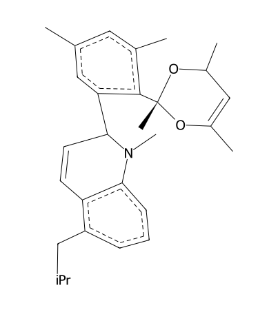 CC1=CC(C)O[C@@](C)(c2c(C)cc(C)cc2C2C=Cc3c(CC(C)C)cccc3N2C)O1